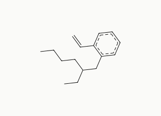 C=Cc1ccccc1CC(CC)CCCC